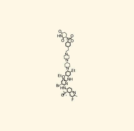 CCOc1cc(N2CCC(N3CCN(CCc4ccc5c(c4)oc(=O)n5C4CCC(=O)NC4=O)CC3)CC2)c(CC)cc1Nc1ncc(Br)c(Nc2ccc3nc(C)c(F)cc3c2P(C)(C)=O)n1